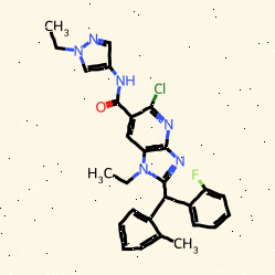 CCn1cc(NC(=O)c2cc3c(nc2Cl)nc(C(c2ccccc2C)c2ccccc2F)n3CC)cn1